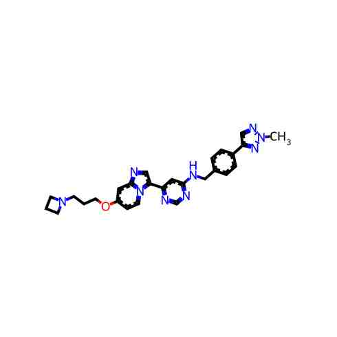 Cn1ncc(-c2ccc(CNc3cc(-c4cnc5cc(OCCCN6CCC6)ccn45)ncn3)cc2)n1